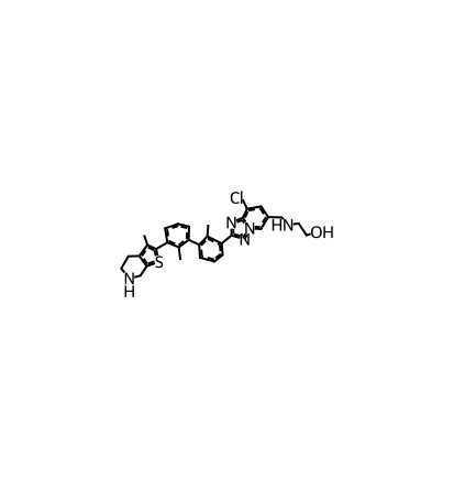 Cc1c(-c2nc3c(Cl)cc(CNCCO)cn3n2)cccc1-c1cccc(-c2sc3c(c2C)CCNC3)c1C